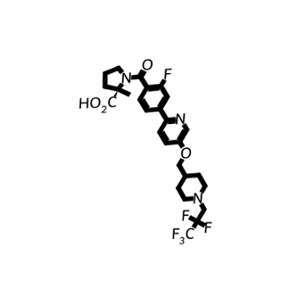 C[C@@]1(C(=O)O)CCCN1C(=O)c1ccc(-c2ccc(OCC3CCN(CC(F)(F)C(F)(F)F)CC3)cn2)cc1F